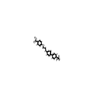 COC(=O)c1ccc(OCCCc2ccc(-c3ccc(C(F)(F)F)cc3)cc2)cc1